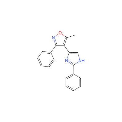 Cc1onc(-c2ccccc2)c1-c1c[nH]c(-c2ccccc2)n1